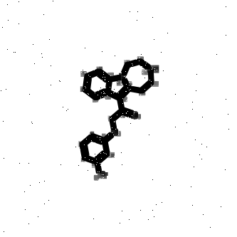 CC(C)c1cccc(OCC(=O)c2c3n(c4ccccc24)CCNCC3)c1